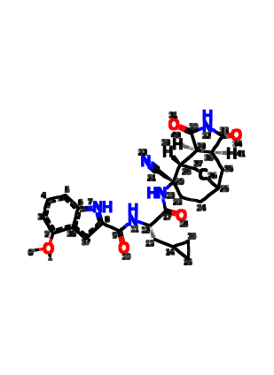 COc1cccc2[nH]c(C(=O)N[C@@H](CC3CC3)C(=O)N[C@@]3(C#N)CCC4CC[C@H]3[C@H]3C(=O)NC(=O)[C@H]3C4)cc12